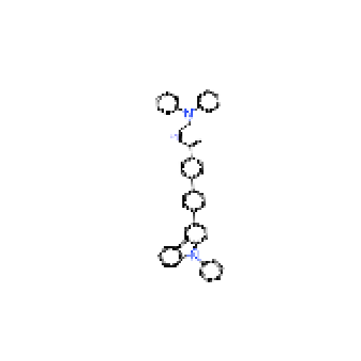 C=C(/C=C\CN(c1ccccc1)c1ccccc1)c1ccc(-c2ccc(-c3ccc4c(c3)c3ccccc3n4-c3ccccc3)cc2)cc1